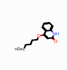 CCCCCCCCCCCCCCOc1cc(=O)[nH]c2ccccc12